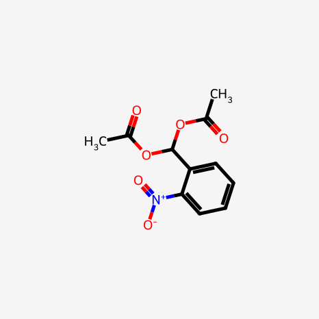 CC(=O)OC(OC(C)=O)c1ccccc1[N+](=O)[O-]